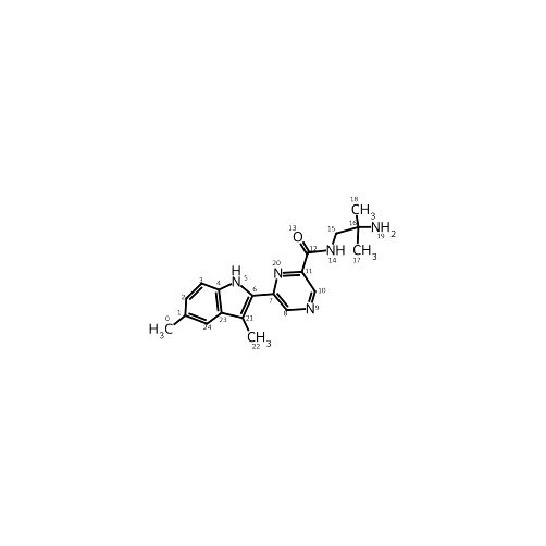 Cc1ccc2[nH]c(-c3cncc(C(=O)NCC(C)(C)N)n3)c(C)c2c1